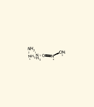 N.N.N.O=NO